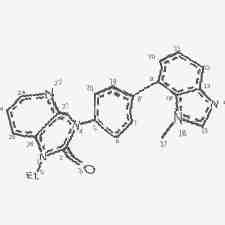 CCn1c(=O)n(-c2ccc(-c3cccc4ncn(C)c34)cc2)c2ncccc21